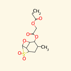 C=CC(=O)OCC(=O)OC1C(C)CC2C3C1OC3S2(=O)=O